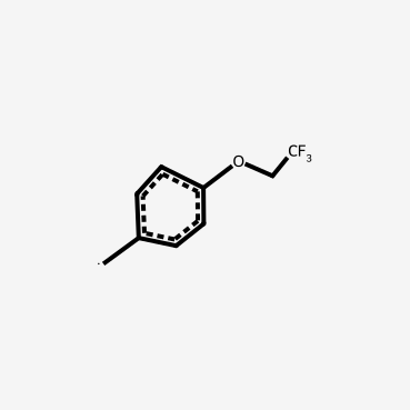 [CH2]c1ccc(OCC(F)(F)F)cc1